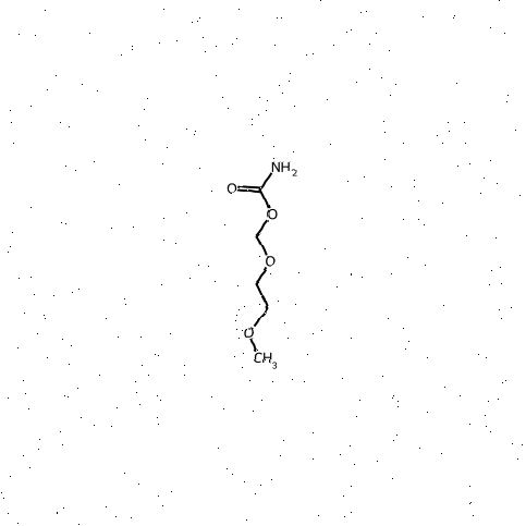 COCCOCOC(N)=O